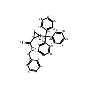 O=C(OCc1ccccc1)C1CN1C(c1ccccc1)(c1ccccc1)c1ccccc1